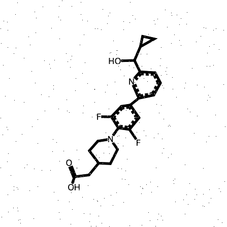 O=C(O)CC1CCN(c2c(F)cc(-c3cccc(C(O)C4CC4)n3)cc2F)CC1